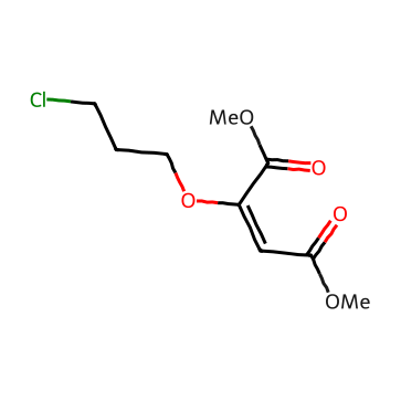 COC(=O)/C=C(/OCCCCl)C(=O)OC